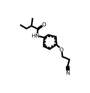 CCC(C)C(=O)Nc1ccc(OCCC#N)cc1